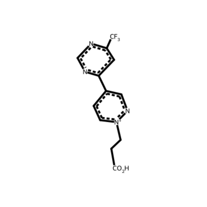 O=C(O)CC[n+]1ccc(-c2cc(C(F)(F)F)ncn2)cn1